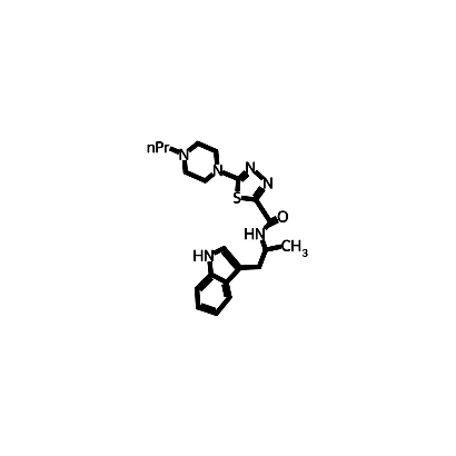 CCCN1CCN(c2nnc(C(=O)NC(C)Cc3c[nH]c4ccccc34)s2)CC1